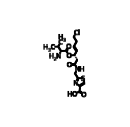 CC(C)[C@H](N)C(=O)O[C@H](/C=C/CCCl)CC(=O)NCc1nc(C(=O)O)cs1